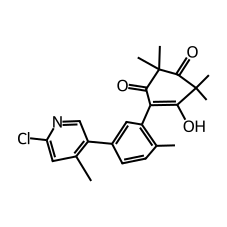 Cc1ccc(-c2cnc(Cl)cc2C)cc1C1=C(O)C(C)(C)C(=O)C(C)(C)C1=O